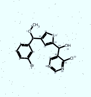 COC(c1cccc(Br)c1)c1csc(C(O)c2cncnc2Cl)c1